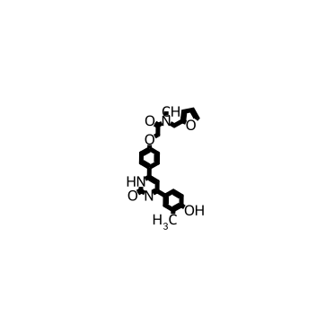 Cc1cc(-c2cc(-c3ccc(OCC(=O)N(C)Cc4ccco4)cc3)[nH]c(=O)n2)ccc1O